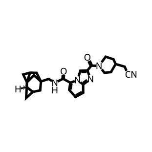 N#CCC1CCN(C(=O)c2cn3c(C(=O)NCC45CC6C[C@@H]6C6(CC6C4)C5)cccc3n2)CC1